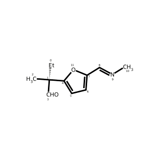 CC[C@@](C)(C=O)c1ccc(/C=N/C)o1